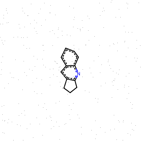 [CH]1CCc2nc3ccccc3cc21